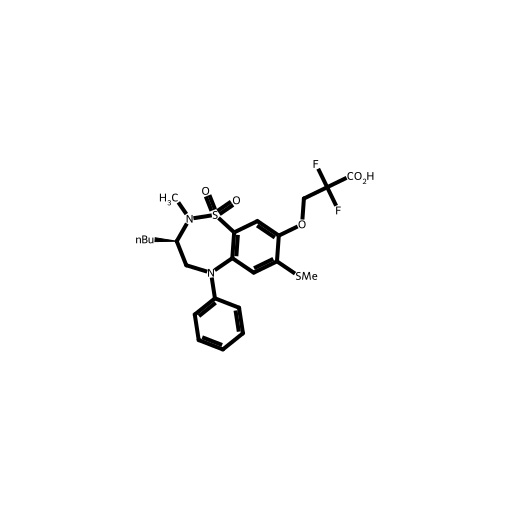 CCCC[C@@H]1CN(c2ccccc2)c2cc(SC)c(OCC(F)(F)C(=O)O)cc2S(=O)(=O)N1C